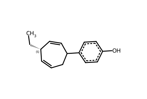 CC[C@H]1C=CCC(c2ccc(O)cc2)C=C1